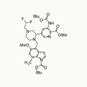 COC(=O)c1ncc(C2CN(CC(F)F)CCN2Cc2c(OC)cc(C)c3c2ccn3C(=O)OC(C)(C)C)cc1NC(=O)OC(C)(C)C